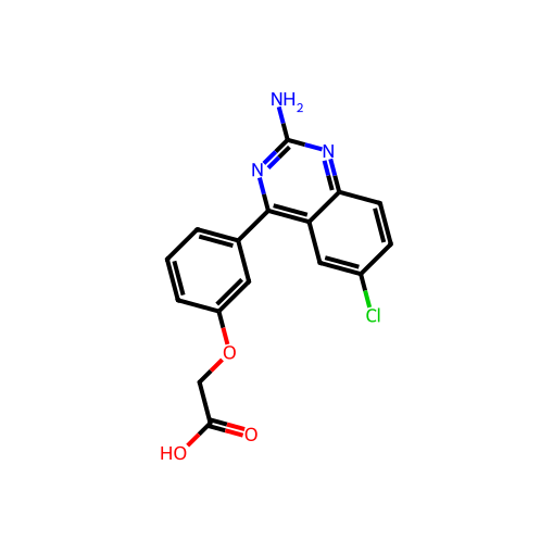 Nc1nc(-c2cccc(OCC(=O)O)c2)c2cc(Cl)ccc2n1